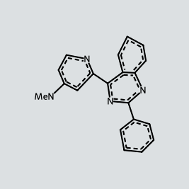 CNc1ccnc(-c2nc(-c3ccccc3)nc3ccccc23)c1